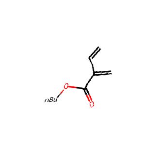 C=CC(=C)C(=O)OCCCC